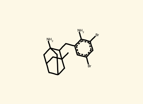 CC12CC3CC(C1)CC(N)(C3)C2Cc1cc(Br)cc(Br)c1N